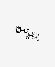 CC(C)C(=O)NCCc1cccnc1